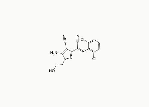 N#CC(=Cc1c(Cl)cccc1Cl)c1nn(CCO)c(N)c1C#N